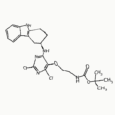 CC(C)(C)OC(=O)NCCOc1c(Cl)nc(Cl)nc1N[C@@H]1CCc2[nH]c3ccccc3c2C1